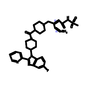 C=C(/C=C(\C=C/N)CN1CCC(C(=O)N2CCC(n3c(-c4ccccn4)nc4cc(F)ccc43)CC2)CC1)NS(C)(=O)=O